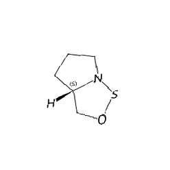 C1C[C@H]2COSN2C1